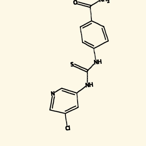 NC(=O)c1ccc(NC(=S)Nc2cncc(Cl)c2)cc1